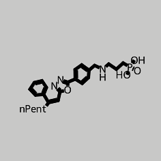 CCCCCC(=Cc1nnc(-c2ccc(CNCCCP(=O)(O)O)cc2)o1)c1ccccc1